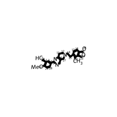 C#Cc1cc(-c2ncc3c(n2)CCN(CCc2ccc4c(c2C)COC4=O)C3)ccc1OC